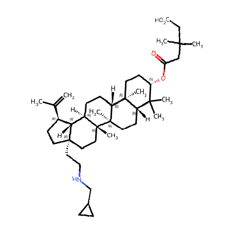 C=C(C)[C@@H]1CC[C@]2(CCNCC3CC3)CC[C@]3(C)[C@H](CC[C@@H]4[C@@]5(C)CC[C@H](OC(=O)CC(C)(C)CC(=O)O)C(C)(C)[C@@H]5CC[C@]43C)[C@@H]12